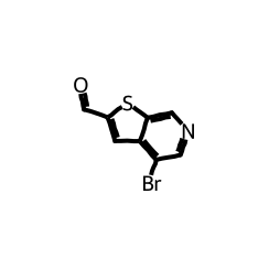 O=Cc1cc2c(Br)cncc2s1